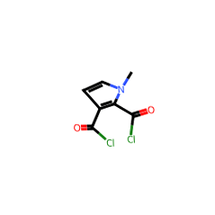 Cn1ccc(C(=O)Cl)c1C(=O)Cl